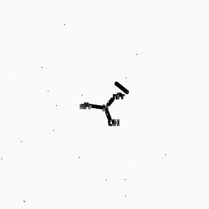 CC.CCCN(O)CCC